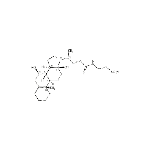 C[C@@H](CCC(=O)NCCS(=O)(=O)O)[C@H]1CC[C@@H]2[C@H]3[C@H](O)CC4CCCC[C@@]4(C)[C@@H]3CC[C@]21C